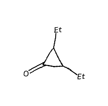 CCC1C(=O)C1CC